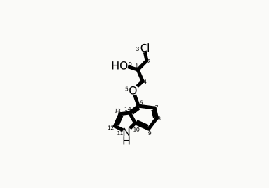 OC(CCl)COc1cccc2[nH]ccc12